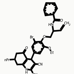 C=CC(COc1c(Br)cc(C2C(C#N)=C(C)NC3=C2C(=O)CC(CCC)C3)cc1OCC)NC(=O)c1ccccc1